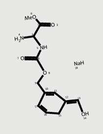 COC(=O)C(N)NC(=O)OCC1=CC(=CO)CC=C1.[NaH]